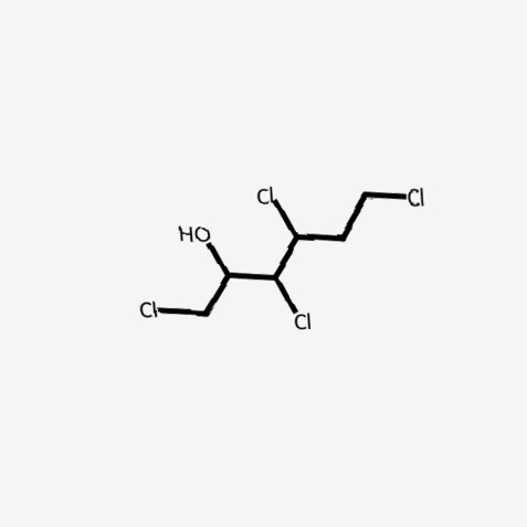 OC(CCl)C(Cl)C(Cl)CCCl